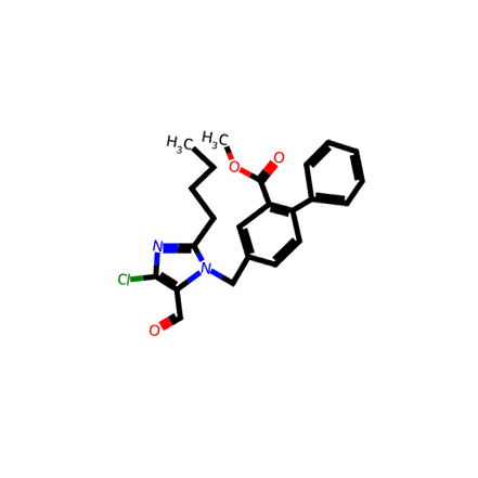 CCCCc1nc(Cl)c(C=O)n1Cc1ccc(-c2ccccc2)c(C(=O)OC)c1